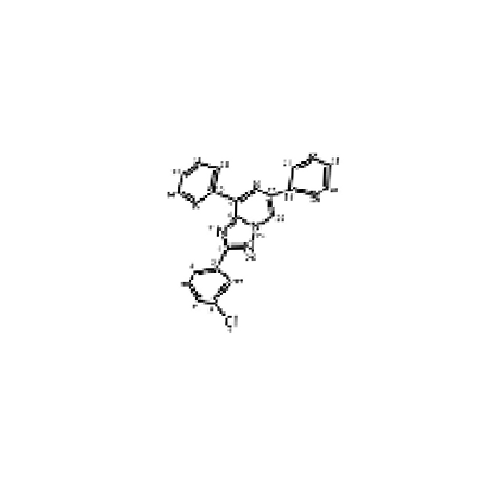 Clc1cccc(-c2nc3c(-c4ccccc4)cc(-c4ccccc4)cn3n2)c1